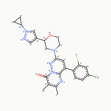 Cc1nc2c(-c3ccc(Cl)cc3F)cc(N3CCOC(c4cnn(C5CC5)c4)C3)nn2c(=O)c1C